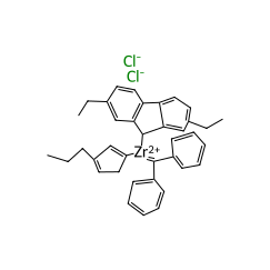 CCCC1=CC[C]([Zr+2](=[C](c2ccccc2)c2ccccc2)[CH]2c3cc(CC)ccc3-c3ccc(CC)cc32)=C1.[Cl-].[Cl-]